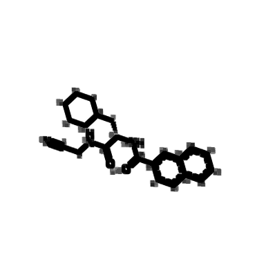 N#CCNC(=O)[C@H](CC1CCCCC1)NC(=O)c1ccc2ccccc2c1